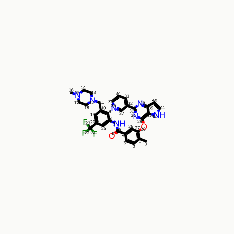 Cc1ccc(C(=O)Nc2cc(CN3CCN(C)CC3)cc(C(F)(F)F)c2)cc1Oc1nc(-c2cccnc2)nc2cc[nH]c12